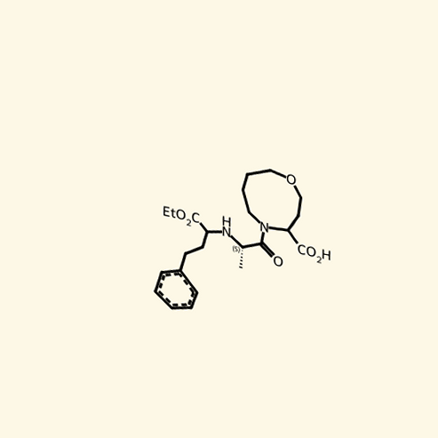 CCOC(=O)C(CCc1ccccc1)N[C@@H](C)C(=O)N1CCCCOCCC1C(=O)O